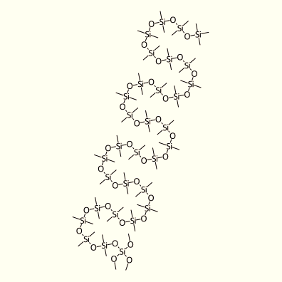 CO[Si](OC)(OC)O[Si](C)(C)O[Si](C)(C)O[Si](C)(C)O[Si](C)(C)O[Si](C)(C)O[Si](C)(C)O[Si](C)(C)O[Si](C)(C)O[Si](C)(C)O[Si](C)(C)O[Si](C)(C)O[Si](C)(C)O[Si](C)(C)O[Si](C)(C)O[Si](C)(C)O[Si](C)(C)O[Si](C)(C)O[Si](C)(C)O[Si](C)(C)O[Si](C)(C)O[Si](C)(C)O[Si](C)(C)O[Si](C)(C)O[Si](C)(C)O[Si](C)(C)O[Si](C)(C)O[Si](C)(C)O[Si](C)(C)O[Si](C)(C)O[Si](C)(C)C